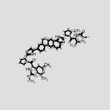 COC(=O)N[C@H](C(=O)N1CCC[C@H]1c1ncc(-c2ccc3c(c2)COc2cc4c(ccc5nc([C@@H]6CC[C@H](C)N6C(=O)[C@@H](NC(=O)OI)C(C)C)[nH]c54)cc2-3)[nH]1)C1C[C@@H](C)O[C@H](C)C1